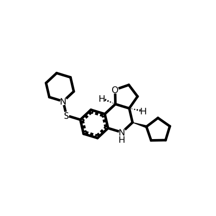 c1cc2c(cc1SN1CCCCC1)[C@H]1OCC[C@H]1[C@@H](C1CCCC1)N2